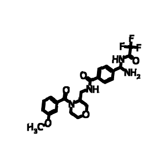 COc1cccc(C(=O)N2CCOCC2CNC(=O)c2ccc(C(N)NC(=O)C(F)(F)F)cc2)c1